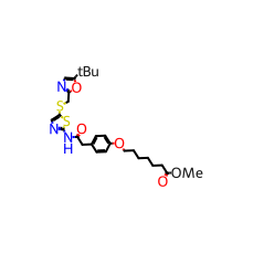 COC(=O)CCCCCCOc1ccc(CC(=O)Nc2ncc(SCc3ncc(C(C)(C)C)o3)s2)cc1